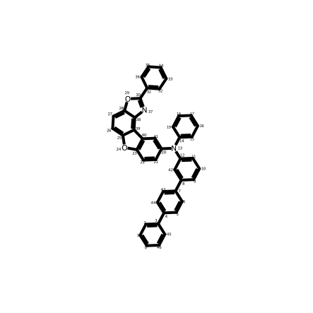 c1ccc(-c2ccc(-c3cccc(N(c4ccccc4)c4ccc5oc6ccc7oc(-c8ccccc8)nc7c6c5c4)c3)cc2)cc1